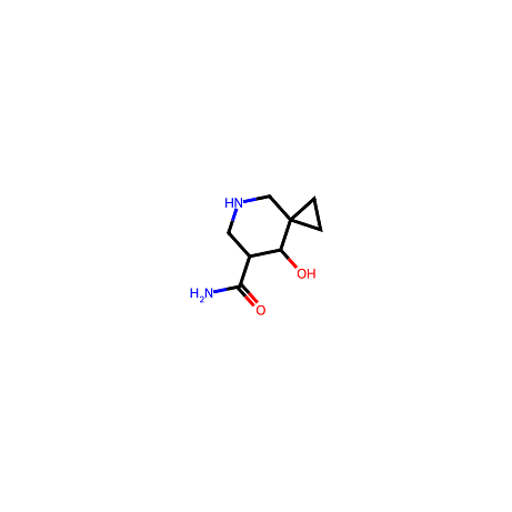 NC(=O)C1CNCC2(CC2)C1O